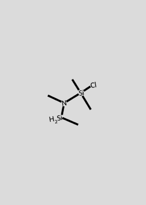 C[SiH2]N(C)[Si](C)(C)Cl